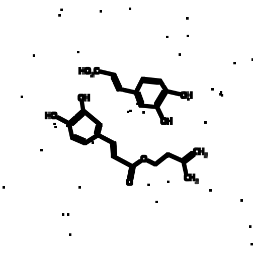 C=C(C)CCOC(=O)C=Cc1ccc(O)c(O)c1.O=C(O)C=Cc1ccc(O)c(O)c1